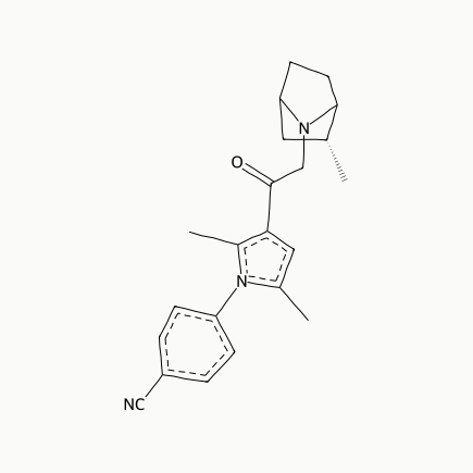 Cc1cc(C(=O)CN2C3CCC2[C@H](C)C3)c(C)n1-c1ccc(C#N)cc1